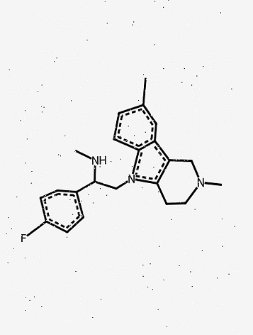 CNC(Cn1c2c(c3cc(C)ccc31)CN(C)CC2)c1ccc(F)cc1